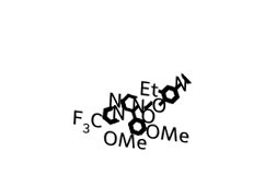 CCc1cc(N2CC2)ccc1OCC(=O)N1CCc2nc3cc(C(F)(F)F)ccn3c2C1c1ccc(OC)c(OC)c1